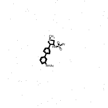 CC(=O)Nc1cccc(-c2ccc(C3CN(C)CC3NS(=O)(=O)C(C)C)cc2)c1